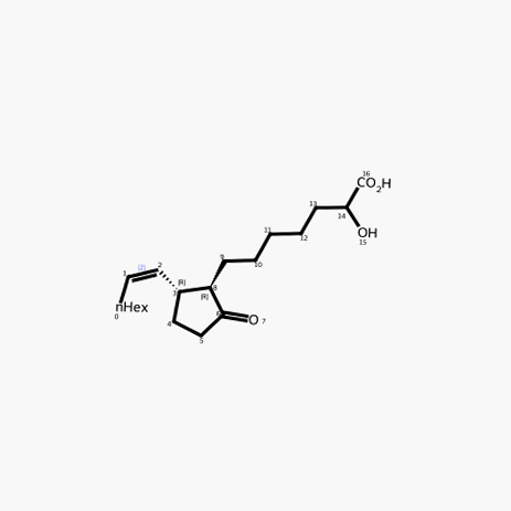 CCCCCC/C=C\[C@H]1CCC(=O)[C@@H]1CCCCCC(O)C(=O)O